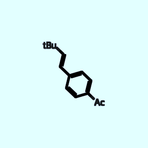 CC(=O)c1ccc(/C=C/C(C)(C)C)cc1